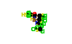 ClC(Cl)(Cl)Sc1ccc(Br)cc1.ClC(Cl)Sc1ccc(Br)cc1.ClC(Cl)Sc1cnsc1.ClC[SH](CCl)c1ncco1.Clc1cc(Cl)cc(SC(Cl)Cl)c1.SC(Cl)Cl